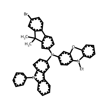 CCN1c2ccccc2Oc2cc(N(c3ccc4c(c3)C(C)(C)c3cc(Br)ccc3-4)c3ccc4c(c3)c3ccccc3n4-c3ccccc3)ccc21